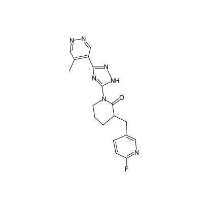 Cc1cnncc1-c1n[nH]c(N2CCCC(Cc3ccc(F)nc3)C2=O)n1